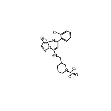 Bc1cnn2c(NCC3CCCN(S(=O)(=O)Cl)C3)cc(-c3ccccc3Cl)nc12